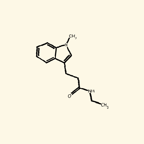 CCNC(=O)CCc1cn(C)c2ccccc12